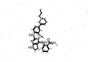 CCCN1CCC=C(c2ccc(Nc3nc4c(c(Nc5ccccc5C(N)=O)n3)CCN4)c(OC)c2)C1